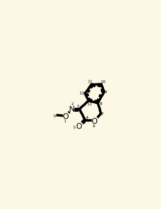 CON=C1C(=O)OCc2ccccc21